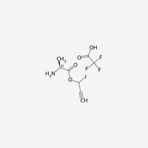 C#CC(I)OC(=O)[C@H](C)N.O=C(O)C(F)(F)F